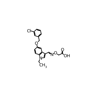 CCn1cc(/C=N/OCC(=O)O)c2cc(OCc3cccc(Cl)c3)ccc21